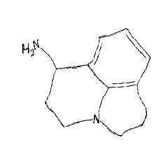 NC1CCN2CCc3cccc1c32